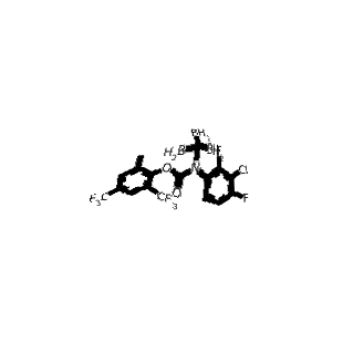 BC(B)(B)N(C(=O)Oc1c(C)cc(C(F)(F)F)cc1C(F)(F)F)c1ccc(F)c(Cl)c1F